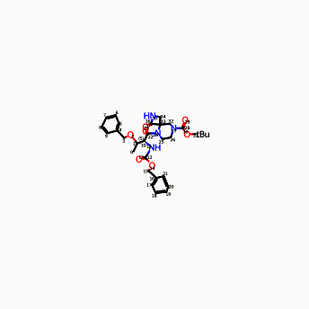 CC(OCc1ccccc1)[C@H](NC(=O)OCc1ccccc1)C(=O)N1CCN(C(=O)OC(C)(C)C)CC12CNC2=O